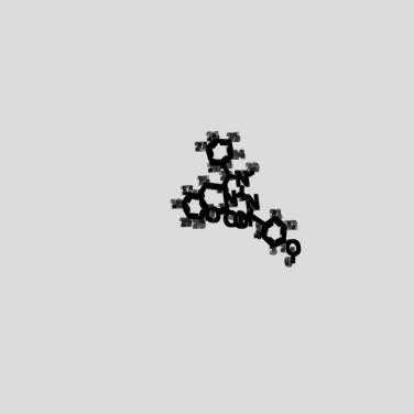 COc1ccc(C(=O)/N=C2\N(C(=O)O)/C(=C\c3ccccc3)C(c3ccccc3)N2C)cc1